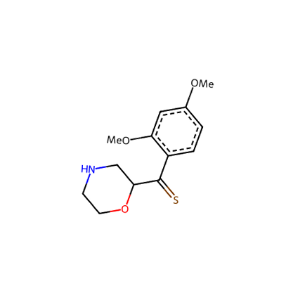 COc1ccc(C(=S)C2CNCCO2)c(OC)c1